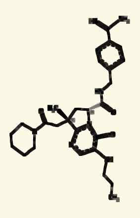 CCCNc1cnc2n(c1=O)[C@@H](C(=O)NCc1ccc(C(=N)N)cc1)C[C@@]2(C)CC(=O)N1CCCCC1